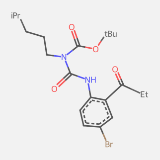 CCC(=O)c1cc(Br)ccc1NC(=O)N(CCCC(C)C)C(=O)OC(C)(C)C